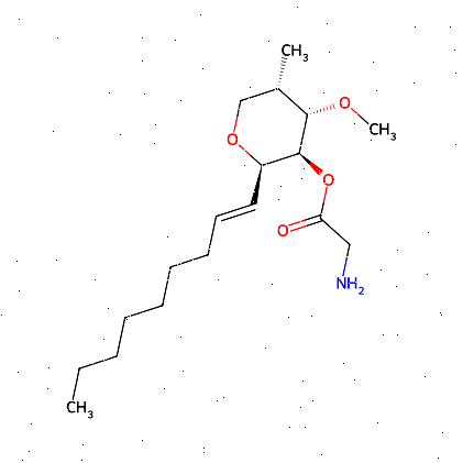 CCCCCCCC=C[C@H]1OC[C@H](C)[C@H](OC)[C@H]1OC(=O)CN